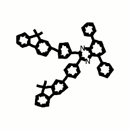 CC1(C)c2ccccc2-c2ccc(-c3ccc(-c4nc5c(-c6ccccc6)ccc(-c6ccccc6)c5nc4-c4ccc(-c5ccc6c(c5)C(C)(C)c5ccccc5-6)cc4)cc3)cc21